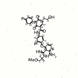 COCC(C)(C)NC(=N)c1c(Oc2ccc(NC(=O)c3cn(CCO)c(=O)n(-c4ccc(F)cc4)c3=O)cc2F)ccnc1N